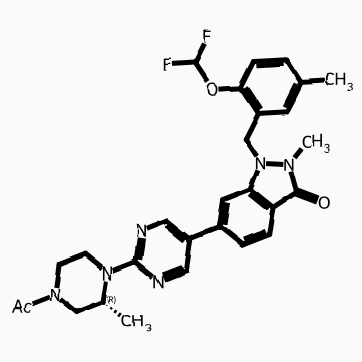 CC(=O)N1CCN(c2ncc(-c3ccc4c(=O)n(C)n(Cc5cc(C)ccc5OC(F)F)c4c3)cn2)[C@H](C)C1